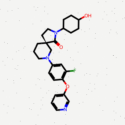 O=C1N(C2CCC(O)CC2)CC[C@@]12CCCN(c1ccc(Oc3cccnc3)c(F)c1)C2